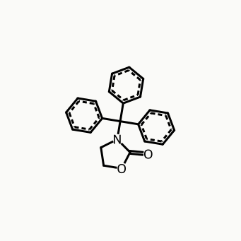 O=C1OCCN1C(c1ccccc1)(c1ccccc1)c1ccccc1